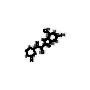 O=C(N[C@@H]1CCCNC1)c1cc2c(Cl)cc(I)cc2s1